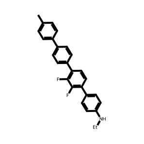 CCNc1ccc(-c2ccc(-c3ccc(-c4ccc(C)cc4)cc3)c(F)c2F)cc1